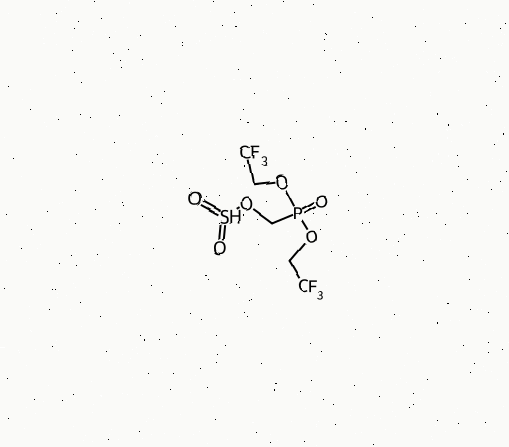 O=[SH](=O)OCP(=O)(OCC(F)(F)F)OCC(F)(F)F